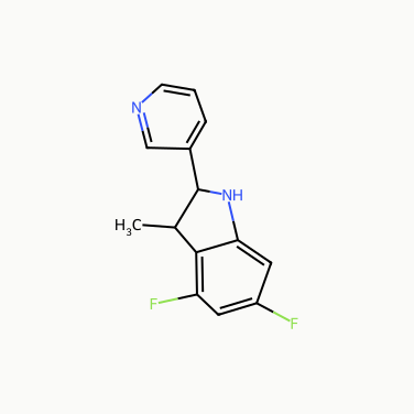 CC1c2c(F)cc(F)cc2NC1c1cccnc1